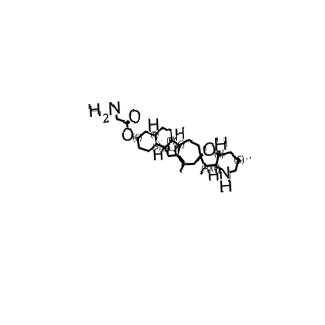 CC1=C2C[C@H]3[C@@H](CC[C@@H]4C[C@@H](OC(=O)CN)CC[C@@]43C)[C@@H]2CCC2(C1)O[C@@H]1C[C@H](C)CN[C@H]1[C@H]2C